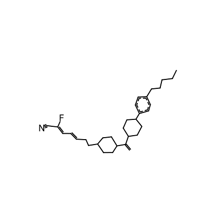 C=C(C1CCC(CCC=CC=C(F)C#N)CC1)C1CCC(c2ccc(CCCCC)cc2)CC1